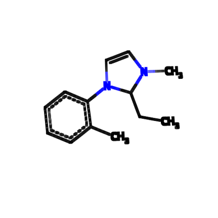 CCC1N(C)C=CN1c1ccccc1C